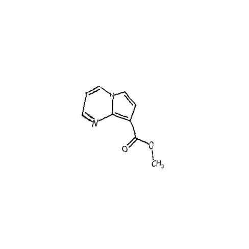 COC(=O)c1ccn2cccnc12